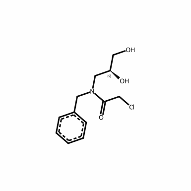 O=C(CCl)N(Cc1ccccc1)C[C@H](O)CO